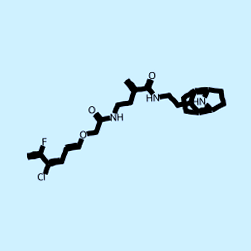 C=C(CCNC(=O)CO/C=C/C=C(/Cl)C(=C)F)C(=O)NCCC1C2=C3CCC(=C1CC2)N3